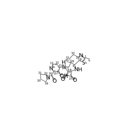 Cc1nc2c(s1)C(Nc1c(Nc3ccnc(C(=O)N4CCCC4)c3O)c(=O)c1=O)C(C)(C)CC2